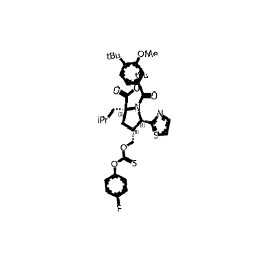 COc1cc(C(=O)N2[C@@H](c3nccs3)[C@H](COC(=S)Oc3ccc(F)cc3)C[C@@]2(CC(C)C)C(=O)OC(C)(C)C)ccc1C(C)(C)C